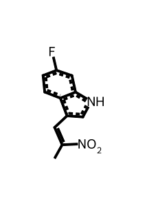 C/C(=C/c1c[nH]c2cc(F)ccc12)[N+](=O)[O-]